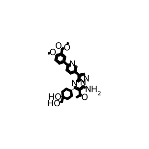 COC(=O)c1cc(-c2ccc(-c3cnn4c(N)c(C(C)=O)c([C@H]5CC[C@](O)(CO)CC5)nc34)cn2)ccc1OC